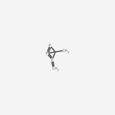 C=P1=P2=PC12C